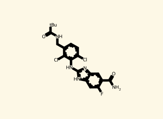 CC(C)(C)C(=O)NCc1ccc(Cl)c(Nc2nc3cc(C(N)=O)c(F)cc3[nH]2)c1Cl